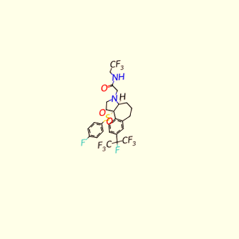 O=C(CN1CC[C@]2(S(=O)(=O)c3ccc(F)cc3)c3ccc(C(F)(C(F)(F)F)C(F)(F)F)cc3CCC[C@H]12)NCC(F)(F)F